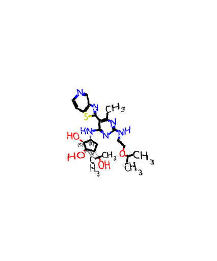 Cc1nc(NCCOC(C)C)nc(N[C@@H]2C[C@H](C(C)(C)O)[C@@H](O)[C@H]2O)c1-c1nc2cnccc2s1